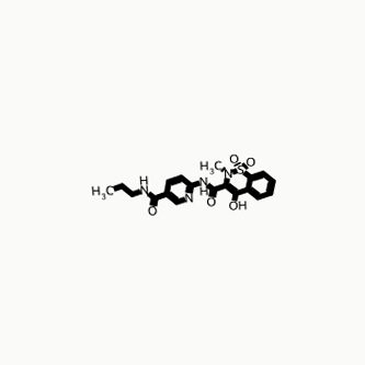 CCCNC(=O)c1ccc(NC(=O)C2=C(O)c3ccccc3S(=O)(=O)N2C)nc1